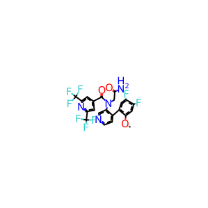 COc1cc(F)c(F)cc1-c1ccncc1N(CC(N)=O)C(=O)c1cc(C(F)(F)F)nc(C(F)(F)F)c1